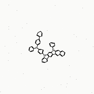 C1=CC(c2ccc(N(c3ccccc3)c3ccc(-n4c5ccccc5c5cc6c7cc8ccccc8cc7n(-c7ccccc7)c6cc54)cc3)cc2)=CCC1